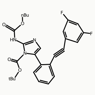 CCCCOC(=O)Nc1ncc(-c2ccccc2C#Cc2cc(F)cc(F)c2)n1C(=O)OC(C)(C)C